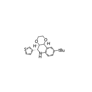 CC(C)(C)c1ccc2c(c1)[C@@H]1OCCO[C@@H]1[C@@H](c1ccsc1)N2